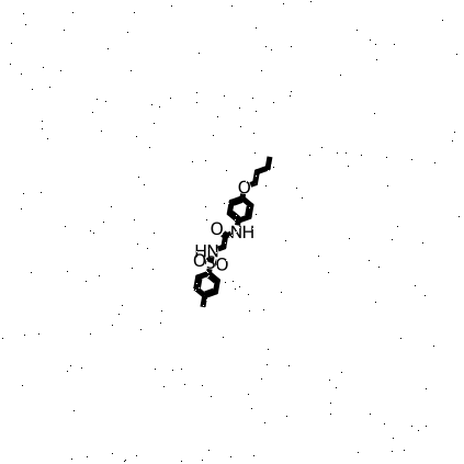 CCCCOc1ccc(NC(=O)CNS(=O)(=O)c2ccc(C)cc2)cc1